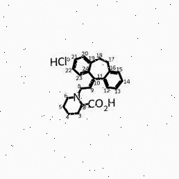 Cl.O=C(O)[C@H]1CCCCN1CC=C1c2ccccc2CCc2ccccc21